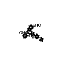 CCCn1c(-c2ccc(-n3ccnc3)cc2)cnc1[C@H](Cc1ccccn1)N(C=O)c1cc2cc(C=O)ccc2o1